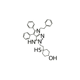 N=c1c2c(-c3ccccc3)c(-c3ccccc3)n(CCc3ccccc3)c2ncn1CCC1(S)CCC(O)CC1